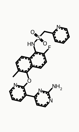 Cc1ccc2c(NS(=O)(=O)Cc3ccccn3)c(F)ccc2c1Oc1ncccc1-c1ccnc(N)n1